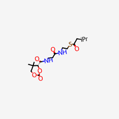 CC(C)CC(=O)SCCNC(=O)CCNC(=O)[C@@H]1OC(=O)OCC1(C)C